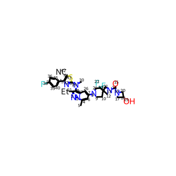 CCc1nn2c(C)cc(N3CCC4(CN(C(=O)N5CC(O)C5)C4)C(F)(F)C3)cc2c1N(C)c1nc(-c2ccc(F)cc2)c(C#N)s1